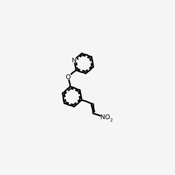 O=[N+]([O-])/C=C/c1cccc(Oc2ccccn2)c1